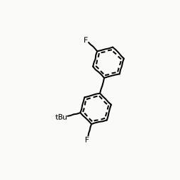 CC(C)(C)c1cc(-c2cccc(F)c2)ccc1F